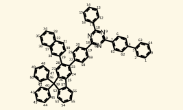 c1ccc(-c2ccc(-c3nc(-c4ccccc4)nc(-c4ccc(-c5cc6c(cc5-c5ccc7ccccc7c5)C(c5ccccc5)(c5ccccc5)c5ccccc5-6)cc4)n3)cc2)cc1